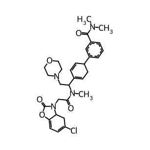 CN(C)C(=O)c1cccc(C2C=CC(C(CN3CCOCC3)N(C)C(=O)CN3C(=O)OC4=CC=C(Cl)CC43)=CC2)c1